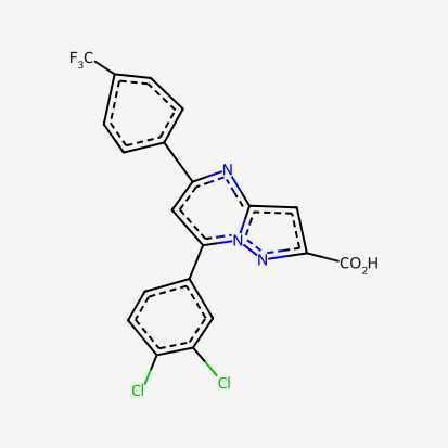 O=C(O)c1cc2nc(-c3ccc(C(F)(F)F)cc3)cc(-c3ccc(Cl)c(Cl)c3)n2n1